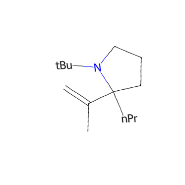 C=C(C)C1(CCC)CCCN1C(C)(C)C